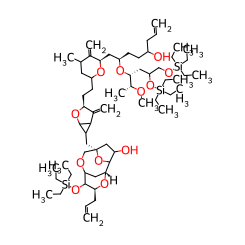 C=CCC(O)CC[C@H](C[C@H]1OC(CC[C@@H]2OC3C(C[C@@]45COC6C[C@@H](O[C@@H](CC=C)C6O[Si](CC)(CC)CC)C(O4)C(O)C5)C3C2=C)CC(C)C1=C)O[C@H](CC(CO[Si](CC)(CC)CC)O[Si](CC)(CC)CC)[C@@H](C)OC